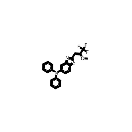 CO/C(=C\c1nc2cc(N(c3ccccc3)c3ccccc3)ccc2s1)C(F)(F)F